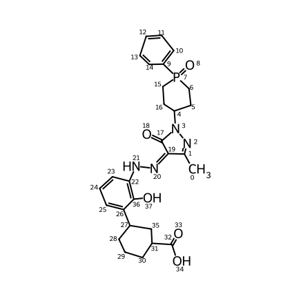 CC1=NN(C2CCP(=O)(c3ccccc3)CC2)C(=O)C1=NNc1cccc(C2CCCC(C(=O)O)C2)c1O